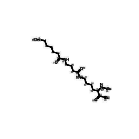 CCCCCCCCCCCCCCCC(=O)NCCCC(=O)NCCCCC(NC(C)(C)C)C(=O)C(C)(C)C